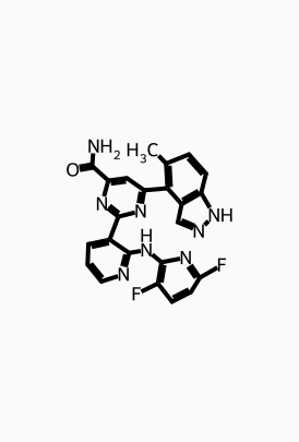 Cc1ccc2[nH]ncc2c1-c1cc(C(N)=O)nc(-c2cccnc2Nc2nc(F)ccc2F)n1